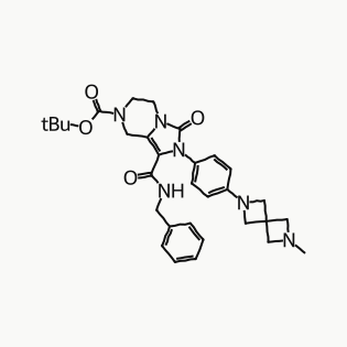 CN1CC2(C1)CN(c1ccc(-n3c(C(=O)NCc4ccccc4)c4n(c3=O)CCN(C(=O)OC(C)(C)C)C4)cc1)C2